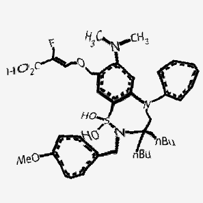 CCCCC1(CCCC)CN(c2ccccc2)c2cc(N(C)C)c(OC=C(F)C(=O)O)cc2S(O)(O)N1Cc1ccc(OC)cc1